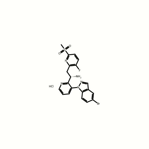 CS(=O)(=O)c1ccc(F)c(C[C@H](N)c2ncccc2-n2ncc3cc(Br)ccc32)n1.Cl